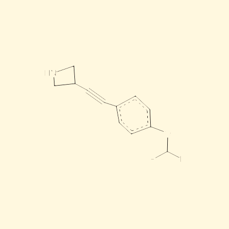 FC(F)Oc1ccc(C#CC2CNC2)cc1